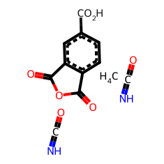 C.N=C=O.N=C=O.O=C(O)c1ccc2c(c1)C(=O)OC2=O